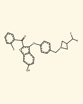 O=C(c1ccccc1F)c1sc2cc(O)ccc2c1Oc1ccc(CN2CC(C(F)F)C2)cc1